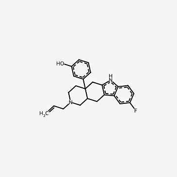 C=CCN1CCC2(c3cccc(O)c3)Cc3[nH]c4ccc(F)cc4c3CC2C1